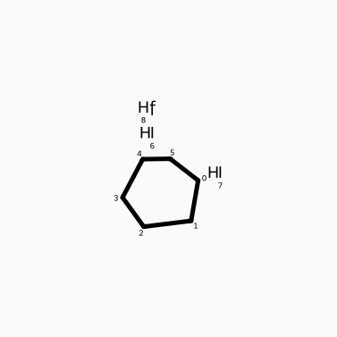 C1CCCCC1.I.I.[Hf]